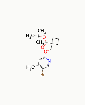 Cc1cc(OCC2(C(=O)OC(C)(C)C)CCC2)ncc1Br